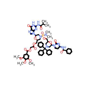 COc1cc(C(=O)OCC(=O)OCC2CN(P(=O)(OCC3CN(C(c4ccccc4)(c4ccccc4)c4ccccc4)CC(n4ccc(NC(=O)c5ccccc5)nc4=O)O3)N(C)C)CC(n3cnc4c(=O)[nH]c(NC(=O)C(C)C)nc43)O2)cc(OC)c1OC